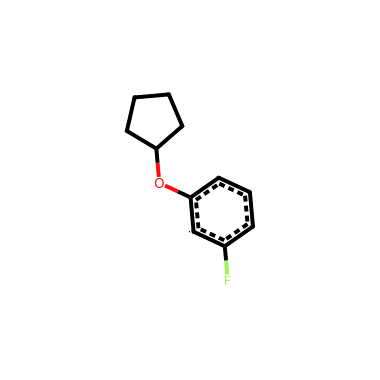 Fc1[c]c(OC2CCCC2)ccc1